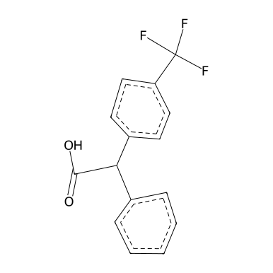 O=C(O)C(c1ccccc1)c1ccc(C(F)(F)F)cc1